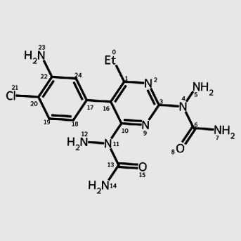 CCc1nc(N(N)C(N)=O)nc(N(N)C(N)=O)c1-c1ccc(Cl)c(N)c1